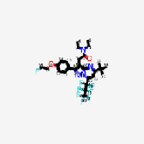 CCN(CC)C(=O)Cc1c(-c2ccc(OCCF)cc2)nn2c(C(F)(F)C(F)(F)C(F)(F)F)cc(C(C)(C)C)nc12